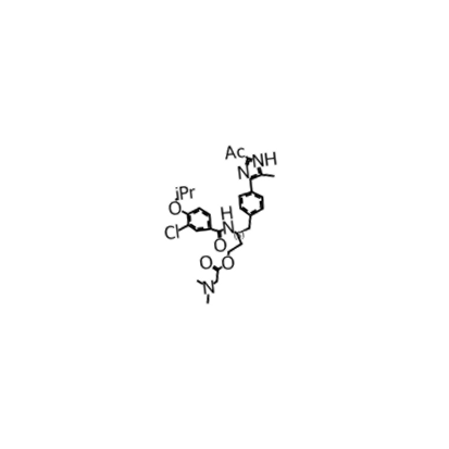 CC(=O)c1nc(-c2ccc(C[C@@H](CCOC(=O)CN(C)C)NC(=O)c3ccc(OC(C)C)c(Cl)c3)cc2)c(C)[nH]1